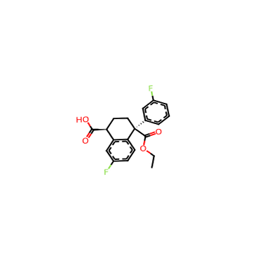 CCOC(=O)[C@]1(c2cccc(F)c2)CC[C@H](C(=O)O)c2cc(F)ccc21